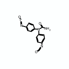 NC(=O)N(c1ccc(N=C=O)cc1)c1ccc(N=C=O)cc1